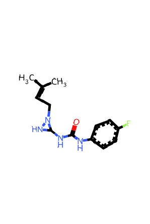 CC(C)=CCN1NC1NC(=O)Nc1ccc(F)cc1